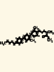 C=CC(=O)N(C)CCCc1ccc(-c2ccc(-c3ccc(CCCCC)cc3)cc2C)cc1C